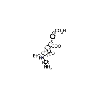 CCO/N=C(\C(=O)N[C@@H]1C(=O)N2C(C(=O)[O-])=C(CSc3cc[n+](CC(=O)O)cc3)CS[C@H]12)c1csc(N)n1